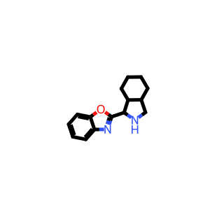 c1ccc2oc(C3NCC4CCCCC43)nc2c1